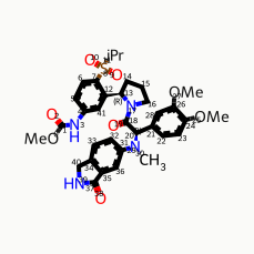 COC(=O)Nc1ccc(S(=O)(=O)C(C)C)c([C@H]2CCCN2C(=O)[C@@H](c2ccc(OC)c(OC)c2)N(C)c2ccc3c(c2)C(=O)NC3)c1